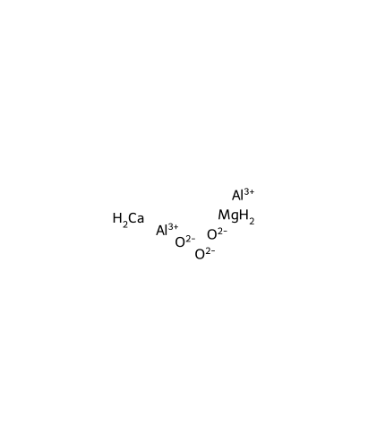 [Al+3].[Al+3].[CaH2].[MgH2].[O-2].[O-2].[O-2]